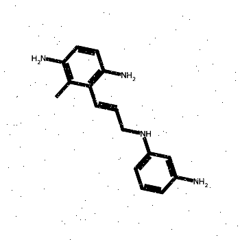 Cc1c(N)ccc(N)c1C=CCNc1cccc(N)c1